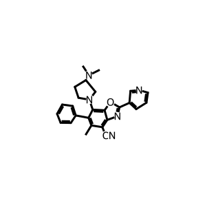 Cc1c(-c2ccccc2)c(N2CC[C@H](N(C)C)C2)c2oc(-c3cccnc3)nc2c1C#N